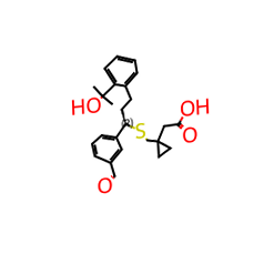 CC(C)(O)c1ccccc1CC[C@@H](SCC1(CC(=O)O)CC1)c1cccc(C=O)c1